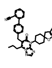 CCCc1c(Cc2ccc(-c3ccccc3C#N)cc2)c(=O)n(C2CCC3(CC2)CC(C)=NO3)c2ncnn12